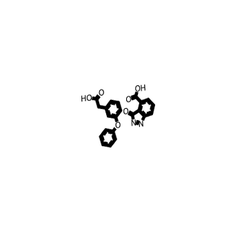 O=C(O)Cc1cccc(Oc2ccccc2)c1.O=C(O)c1cccc2c1C(=O)N=N2